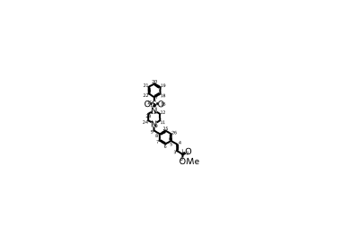 COC(=O)/C=C/c1ccc(CN2CCN(S(=O)(=O)c3ccccc3)CC2)cc1